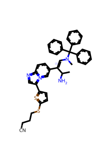 CC(N)/C(=C\N(C)C(c1ccccc1)(c1ccccc1)c1ccccc1)c1ccc2ncc(-c3ccc(SCCCC#N)s3)n2c1